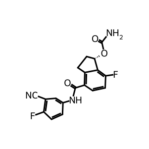 N#Cc1cc(NC(=O)c2ccc(F)c3c2CC[C@@H]3OC(N)=O)ccc1F